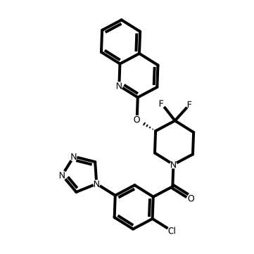 O=C(c1cc(-n2cnnc2)ccc1Cl)N1CCC(F)(F)[C@@H](Oc2ccc3ccccc3n2)C1